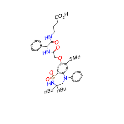 CCCCC1(CCCC)CN(c2ccccc2)c2cc(SC)c(OCC(=O)N[C@@H](C(=O)NCCCC(=O)O)c3ccccc3)cc2S(=O)(=O)N1